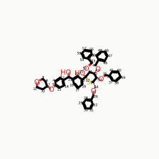 OC(c1ccc(OC2CCOCC2)cc1)c1cccc([C@]2(O)S[C@@H](COCc3ccccc3)[C@@H](OCc3ccccc3)[C@H](OCc3ccccc3)[C@H]2OCc2ccccc2)c1